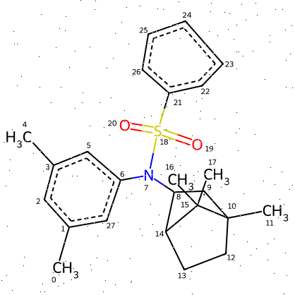 Cc1cc(C)cc(N(C2[CH]C3(C)CCC2C3(C)C)S(=O)(=O)c2ccccc2)c1